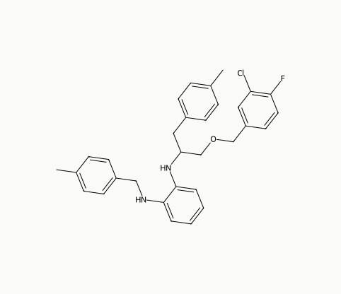 Cc1ccc(CNc2ccccc2NC(COCc2ccc(F)c(Cl)c2)Cc2ccc(C)cc2)cc1